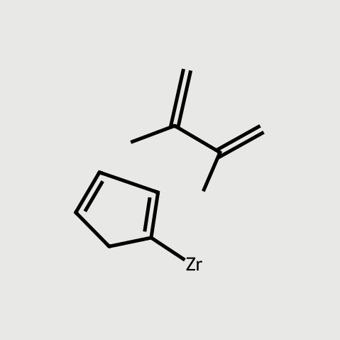 C=C(C)C(=C)C.[Zr][C]1=CC=CC1